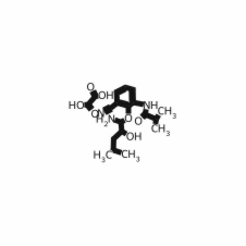 CC(C)CC(O)C(N)Oc1c(C#N)cccc1NC(=O)C(C)C.O=C(O)C(=O)O